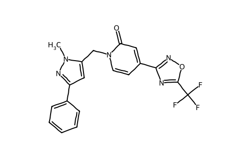 Cn1nc(-c2ccccc2)cc1Cn1ccc(-c2noc(C(F)(F)F)n2)cc1=O